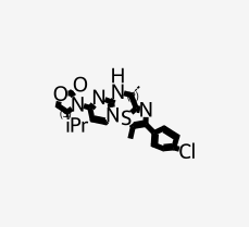 Cc1sc([C@@H](C)Nc2nccc(N3C(=O)OC[C@@H]3C(C)C)n2)nc1-c1ccc(Cl)cc1